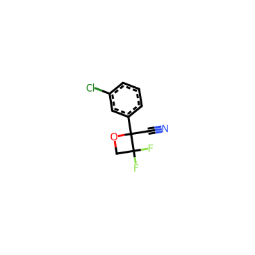 N#CC1(c2cccc(Cl)c2)OCC1(F)F